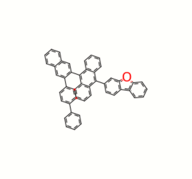 c1ccc(-c2ccc(-c3cc4ccccc4cc3-c3c4ccccc4c(-c4ccc5c(c4)oc4ccccc45)c4ccccc34)cc2)cc1